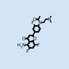 CC(=O)N(CCN(C)C)c1ccc(-c2cc(=O)c3c(N)c(F)cc(F)c3o2)cc1F